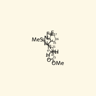 COC(=O)CC1[C@H]2CN(c3nc(SC)nc4c3CCCC4(F)F)C[C@@H]12